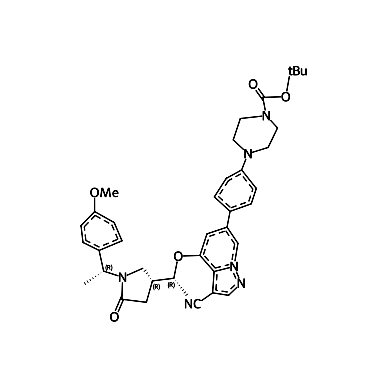 COc1ccc([C@@H](C)N2C[C@H]([C@@H](C)Oc3cc(-c4ccc(N5CCN(C(=O)OC(C)(C)C)CC5)cc4)cn4ncc(C#N)c34)CC2=O)cc1